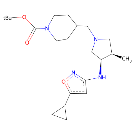 C[C@@H]1CN(CC2CCN(C(=O)OC(C)(C)C)CC2)C[C@@H]1Nc1cc(C2CC2)on1